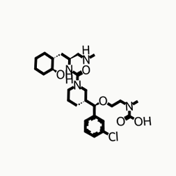 CNC[C@H](C[C@H]1CCCC[C@@H]1O)NC(=O)N1CCC[C@@H]([C@@H](OCCN(C)C(=O)O)c2cccc(Cl)c2)C1